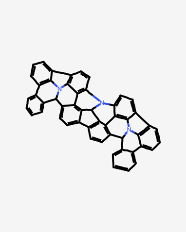 c1ccc2c(c1)-c1cccc3c4ccc5c6c4n(c13)C2c1ccc2c(c1-6)C1c3c-2ccc2c3-c3c(ccc4c6cccc7c6n(c34)C2c2ccccc2-7)N51